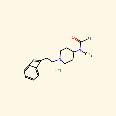 CCC(=O)N(C)C1CCN(CCC2=Cc3ccccc32)CC1.Cl